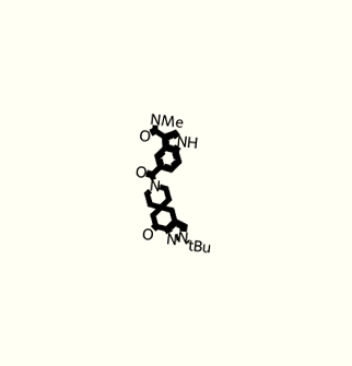 CNC(=O)c1c[nH]c2ccc(C(=O)N3CCC4(CC3)CC(=O)c3nn(C(C)(C)C)cc3C4)cc12